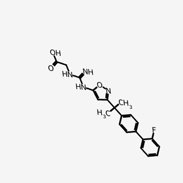 CC(C)(c1ccc(-c2ccccc2F)cc1)c1cc(NC(=N)NCC(=O)O)on1